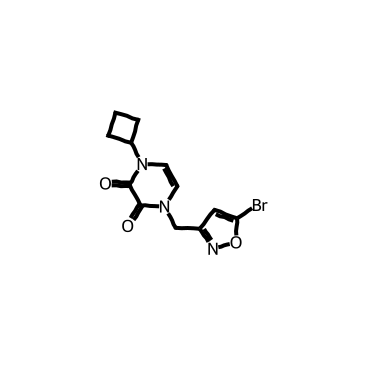 O=c1c(=O)n(C2CCC2)ccn1Cc1cc(Br)on1